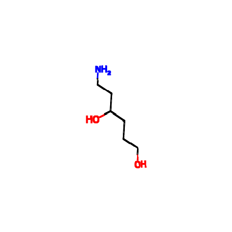 NCCC(O)CCCO